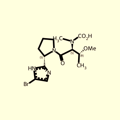 CO[C@H](C)[C@@H](C(=O)N1CCC[C@H]1c1ncc(Br)[nH]1)N(C)C(=O)O